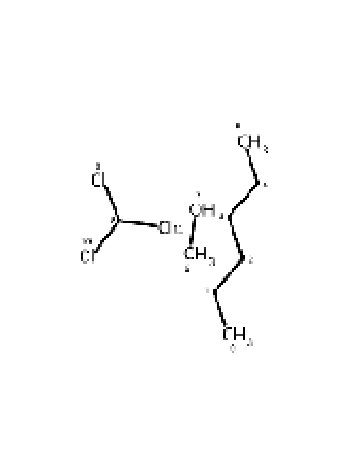 CCCCCC.CO.ClC(Cl)Cl